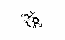 CC(C)N(C(=O)CCl)c1ccc(Cl)c(Cl)c1.CCC=O